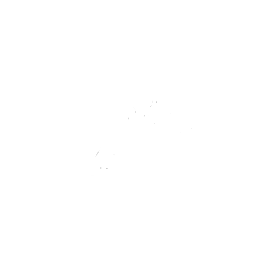 CCC[C@@H](NC(=O)CC1CC1)C(=O)N1CCC(c2ccc(Cl)cc2)CC1